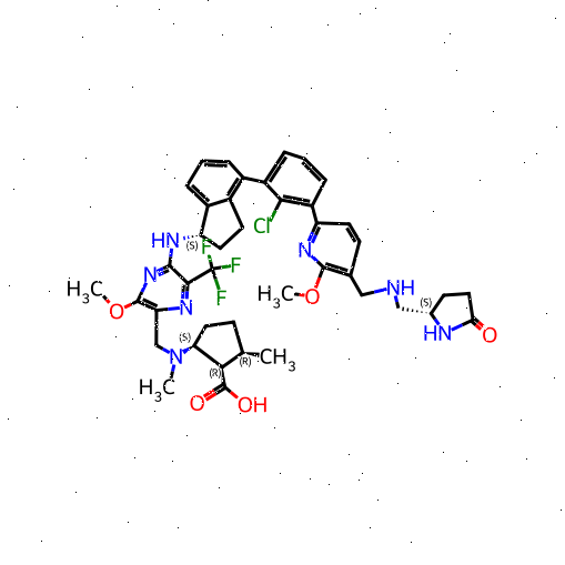 COc1nc(-c2cccc(-c3cccc4c3CC[C@@H]4Nc3nc(OC)c(CN(C)[C@H]4CC[C@@H](C)[C@H]4C(=O)O)nc3C(F)(F)F)c2Cl)ccc1CNC[C@@H]1CCC(=O)N1